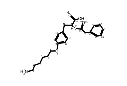 NCCCCCCOc1ccc(CC(NC(=O)Cc2ccccc2)C(=O)O)cc1